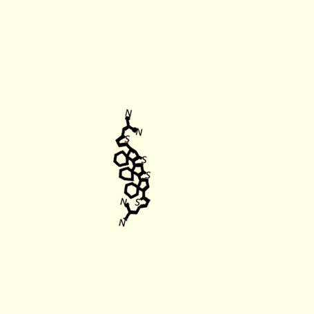 N#CC(C#N)=Cc1ccc(C2=Cc3sc4c(c3C23CCCCC3)C2(CCCCC2)c2c-4sc3c2C2(CCCCC2)C(c2ccc(C=C(C#N)C#N)s2)=C3)s1